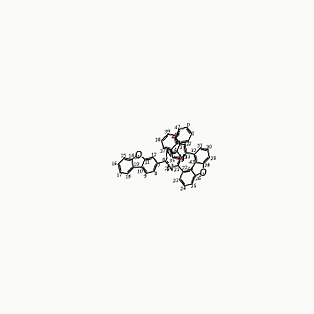 c1ccc(-c2nc(-c3ccc4c(c3)oc3ccccc34)nc(-c3cccc4oc5cccc(-c6ccc7ccccc7c6)c5c34)n2)cc1